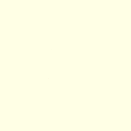 C[Si](C)(C)C#Cc1cc([N+](=O)[O-])ccc1OCc1cccc(F)c1